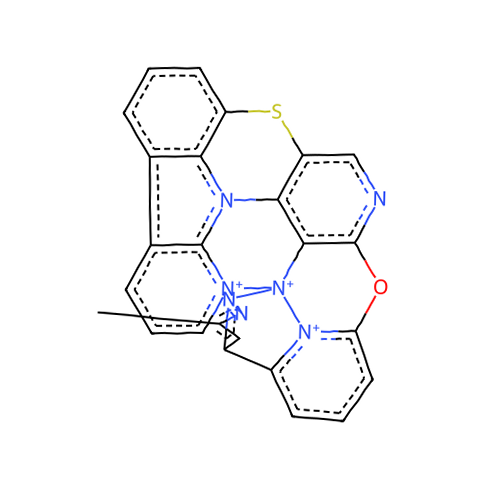 Cc1cc2n(n1)[N+]13c4c(ncc5c4-n4c6c(cccc6c6ccc[n+]1c64)S5)Oc1cccc-2[n+]13